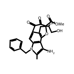 COC(=O)C1Oc2c(CC(O)CO)c(cc3c2c(N)c(C)n3Cc2ccccc2)C(=O)C1=O